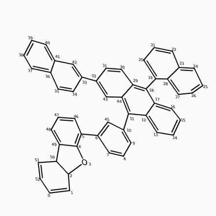 C1=CC2Oc3c(-c4cccc(-c5c6ccccc6c(-c6cccc7ccccc67)c6ccc(-c7ccc8ccccc8c7)cc56)c4)cccc3C2C=C1